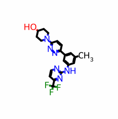 Cc1cc(Nc2nccc(C(F)(F)F)n2)cc(-c2ccc(N3CCC(O)CC3)nn2)c1